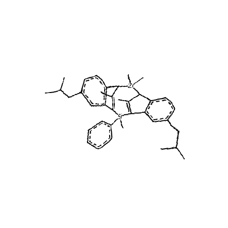 CC1=C2c3cc(CC(C)C)ccc3[CH]1[Zr]([CH3])([CH3])[CH]1C(C)=C(c3cc(CC(C)C)ccc31)[Si]2(C)c1ccccc1